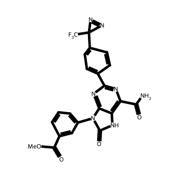 COC(=O)c1cccc(-n2c(=O)[nH]c3c(C(N)=O)nc(-c4ccc(C5(C(F)(F)F)N=N5)cc4)nc32)c1